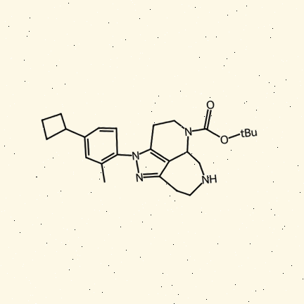 Cc1cc(C2CCC2)ccc1-n1nc2c3c1CCN(C(=O)OC(C)(C)C)C3CNCC2